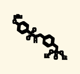 CCCCOc1ccc(S(=O)(=O)NCc2ccc(CP(=O)(OCC)OCC)cc2)cc1